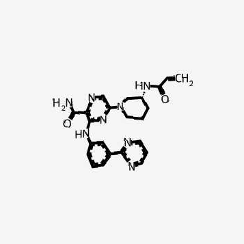 C=CC(=O)N[C@@H]1CCCN(c2cnc(C(N)=O)c(Nc3cccc(-c4ncccn4)c3)n2)C1